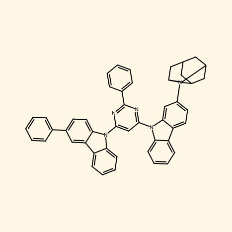 c1ccc(-c2ccc3c(c2)c2ccccc2n3-c2cc(-n3c4ccccc4c4ccc(N5C6CC7CC(C6)CC5C7)cc43)nc(-c3ccccc3)n2)cc1